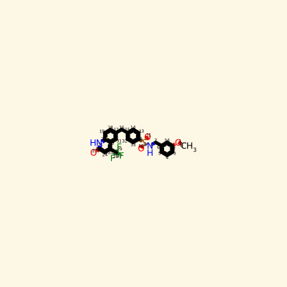 COc1cccc(CNS(=O)(=O)c2ccc(Cc3ccc4[nH]c(=O)cc(C(F)(F)F)c4c3)cc2)c1